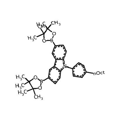 CCCCCCCCc1ccc(-n2c3ccc(B4OC(C)(C)C(C)(C)O4)cc3c3cc(B4OC(C)(C)C(C)(C)O4)ccc32)cc1